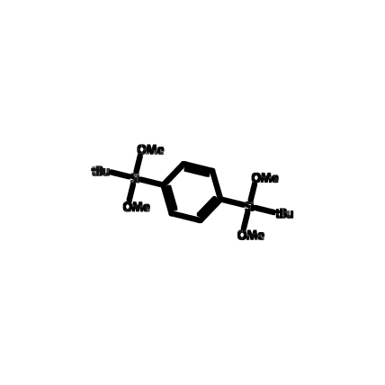 CO[Si](OC)(c1ccc([Si](OC)(OC)C(C)(C)C)cc1)C(C)(C)C